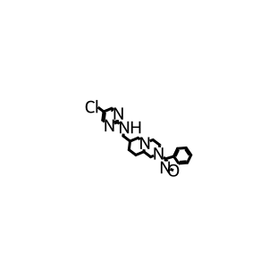 Clc1cnc(NCC2CCC3CN(c4noc5ccccc45)CCN3C2)nc1